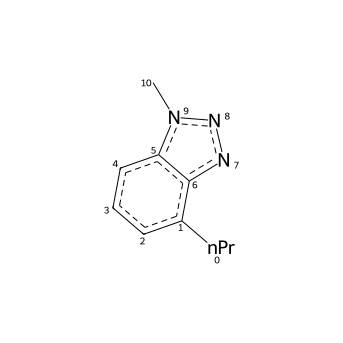 CCCc1cccc2c1nnn2C